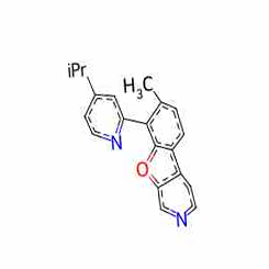 Cc1ccc2c(oc3cnccc32)c1-c1cc(C(C)C)ccn1